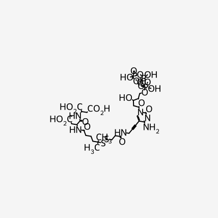 CC(C)(CCCC(=O)NC(CC(=O)O)C(=O)NC(CC(=O)O)C(=O)O)SSCCC(=O)NCC#Cc1cn(C2CC(O)C(COP(=O)(O)OP(=O)(O)OP(=O)(O)O)O2)c(=O)nc1N